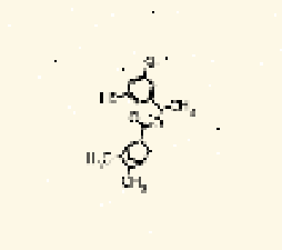 CC(OC(=O)C1CC2CC1C(C)C2C)c1cc(S)cc(S)c1